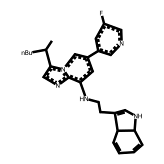 CCCCC(C)c1cnc2c(NCCC3=CNC4C=CC=CC34)cc(-c3cncc(F)c3)cn12